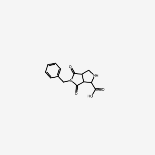 O=C(O)C1NCC2C(=O)N(Cc3ccccc3)C(=O)C21